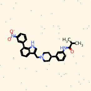 CC(C)C(=O)Nc1cccc(C2CCN(Cc3c[nH]c4c(-c5cccc([N+](=O)[O-])c5)cccc34)CC2)c1